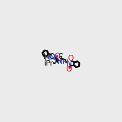 CC(C)C[C@@H](NC(CCN1C(=O)c2ccccc2C1=O)C(=O)O)C(=O)NCc1ccccc1